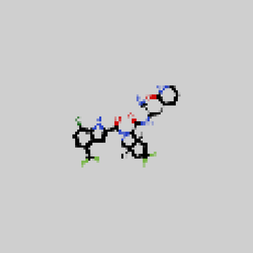 N#C[C@H](C[C@H]1CCCNC1=O)NC(=O)[C@H]1[C@@H]2CC(F)(F)C[C@@H]2CN1C(=O)c1cc2c(C(F)F)ccc(Cl)c2[nH]1